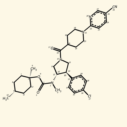 CN(C(=O)O[C@]1(C)CC[C@@H](C)CC1)[C@@H]1CN(C(=O)C2CCN(c3ccc(C#N)cn3)CC2)C[C@H]1c1ccc(Cl)cc1